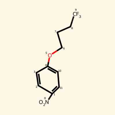 O=[N+]([O-])c1ccc(OCCCC(F)(F)F)cc1